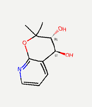 CC1(C)Oc2ncccc2[C@H](O)[C@H]1O